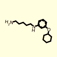 NCCCCCNc1cccc(OC2CCCCC2)c1